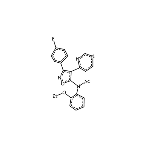 CCOc1ccccc1N(C(C)=O)c1onc(-c2ccc(F)cc2)c1-c1ccncn1